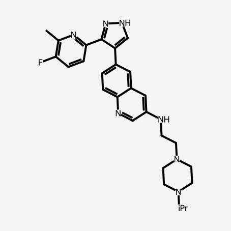 Cc1nc(-c2n[nH]cc2-c2ccc3ncc(NCCN4CCN(C(C)C)CC4)cc3c2)ccc1F